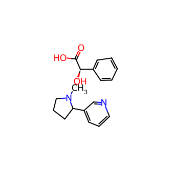 CN1CCCC1c1cccnc1.O=C(O)[C@H](O)c1ccccc1